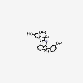 O=C1/C(=C/c2c(-c3cccc(O)c3)[nH]c3ccccc23)Oc2cc(O)cc(O)c21